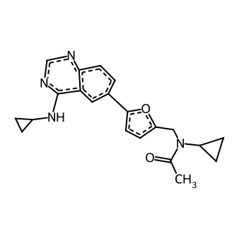 CC(=O)N(Cc1ccc(-c2ccc3ncnc(NC4CC4)c3c2)o1)C1CC1